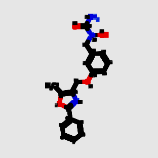 Cc1oc(-c2ccccc2)nc1COc1cccc(CN(O)C(N)=O)c1